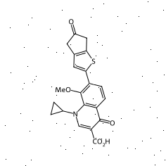 COc1c(-c2cc3c(s2)CC(=O)C3)ccc2c(=O)c(C(=O)O)cn(C3CC3)c12